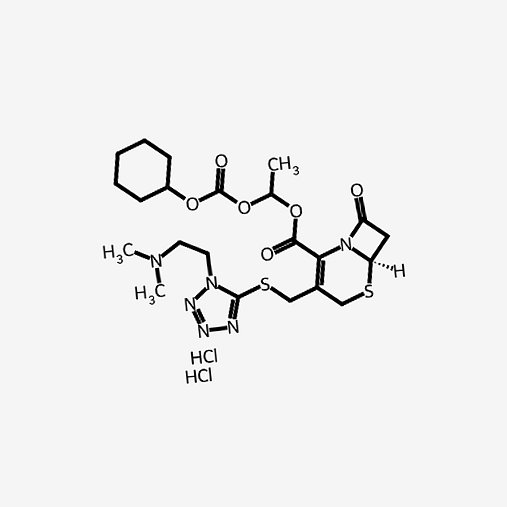 CC(OC(=O)OC1CCCCC1)OC(=O)C1=C(CSc2nnnn2CCN(C)C)CS[C@@H]2CC(=O)N12.Cl.Cl